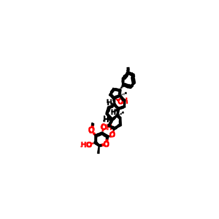 CO[C@H]1[C@H](O)[C@H](O[C@H]2CC[C@@]3(C)[C@H](CC[C@@H]4[C@@H]3CC[C@]3(C)[C@@H](c5cccc(C)c5)CC[C@]43O)C2)O[C@@H](C)[C@@H]1O